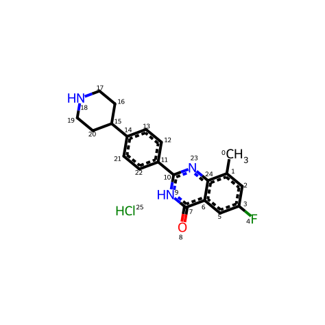 Cc1cc(F)cc2c(=O)[nH]c(-c3ccc(C4CCNCC4)cc3)nc12.Cl